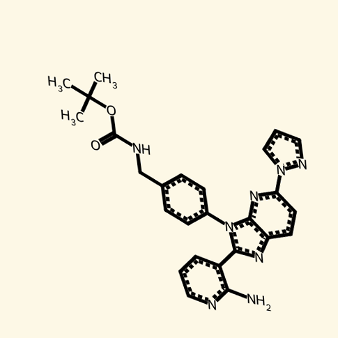 CC(C)(C)OC(=O)NCc1ccc(-n2c(-c3cccnc3N)nc3ccc(-n4cccn4)nc32)cc1